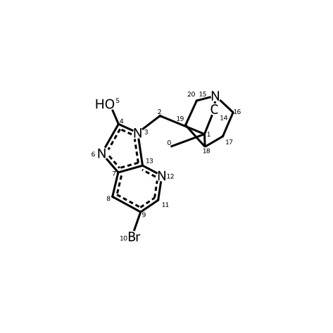 CC1(Cn2c(O)nc3cc(Br)cnc32)CN2CCC1CC2